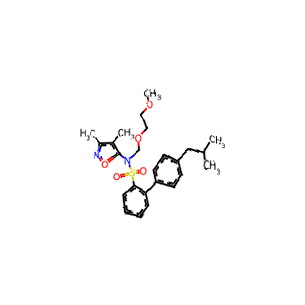 COCCOCN(c1onc(C)c1C)S(=O)(=O)c1ccccc1-c1ccc(CC(C)C)cc1